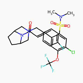 CN(C)S(=O)(=O)c1cc(Cl)c(OC(F)(F)F)cc1C=CC(=O)N1C2CCC1CN(Cc1ccc(F)cc1)C2